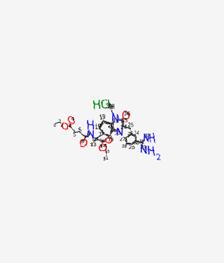 CCOC(=O)CCC(=O)NC(C)(C(=O)OCC)c1ccc2c(c1)nc(Cc1cccc(C(=N)N)c1)c(=O)n2C.Cl